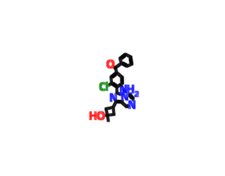 CC1(O)CC(C2=C3C=NC=C[N+]3(N)C(c3ccc(C(=O)c4ccccc4)cc3Cl)=N2)C1